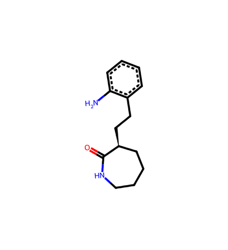 Nc1ccccc1CC[C@H]1CCCCNC1=O